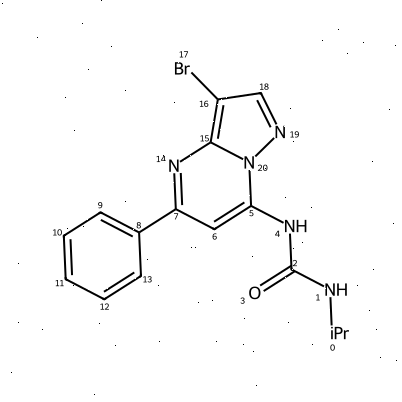 CC(C)NC(=O)Nc1cc(-c2ccccc2)nc2c(Br)cnn12